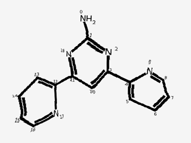 Nc1nc(-c2ccccn2)cc(-c2ccccn2)n1